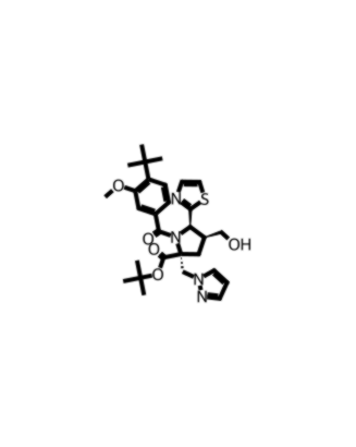 COc1cc(C(=O)N2[C@@H](c3nccs3)[C@@H](CO)C[C@@]2(Cn2cccn2)C(=O)OC(C)(C)C)ccc1C(C)(C)C